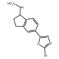 CCc1nnc(-c2ccc3c(c2)CCC3NC(=O)O)o1